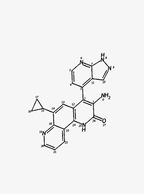 Nc1c(-c2ccnc3[nH]ncc23)c2cc(C3CC3)c3ncccc3c2[nH]c1=O